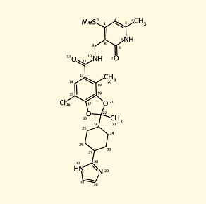 CSc1cc(C)[nH]c(=O)c1CNC(=O)c1cc(Cl)c2c(c1C)OC(C)(C1CCC(c3ncc[nH]3)CC1)O2